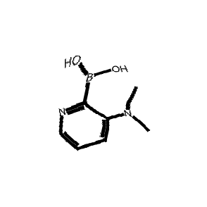 CN(C)c1cccnc1B(O)O